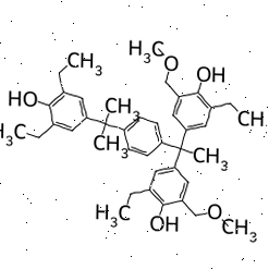 CCc1cc(C(C)(C)c2ccc(C(C)(c3cc(CC)c(O)c(COC)c3)c3cc(CC)c(O)c(COC)c3)cc2)cc(CC)c1O